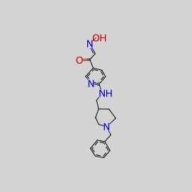 O=C(C=NO)c1ccc(NCC2CCN(Cc3ccccc3)CC2)nc1